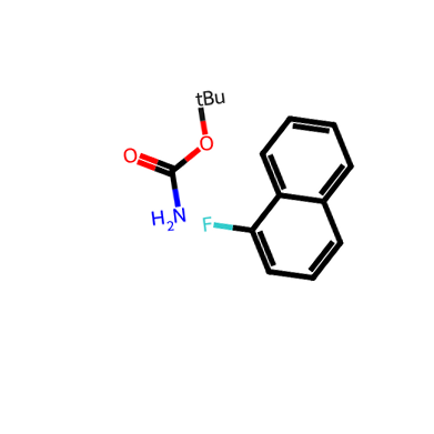 CC(C)(C)OC(N)=O.Fc1cccc2ccccc12